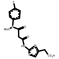 CC(C)CON(C(=O)CC(=O)Nc1nc(CC(=O)O)cs1)c1ccc(F)cc1